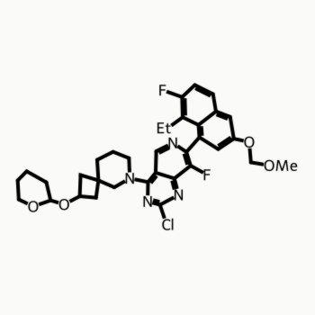 CCc1c(F)ccc2cc(OCOC)cc(-c3ncc4c(N5CCCC6(CC(OC7CCCCO7)C6)C5)nc(Cl)nc4c3F)c12